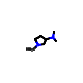 CN(C)C1CCN(C(=O)O)C1